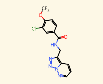 O=C(NCc1nnn2ncccc12)c1ccc(OC(F)(F)F)c(Cl)c1